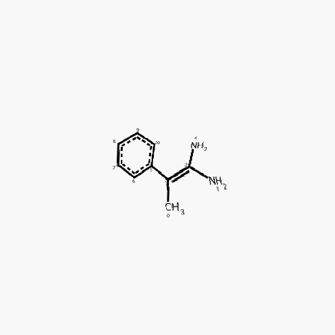 CC(=C(N)N)c1ccccc1